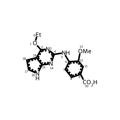 CCOc1nc(Nc2ccc(C(=O)O)cc2OC)nc2[nH]ccc12